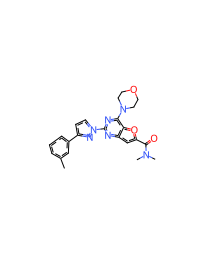 Cc1cccc(-c2ccn(-c3nc(N4CCOCC4)c4oc(C(=O)N(C)C)cc4n3)n2)c1